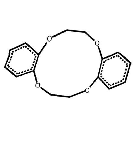 c1ccc2c(c1)OCCOc1ccccc1OCCO2